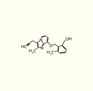 C#CCc1c(C)nc2c(OCc3c(C)cccc3CO)cccn12